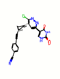 N#Cc1ccc(C#C[C@H]2C[C@@H]2c2cc(-c3c[nH]c(=O)[nH]c3=O)nnc2Cl)cc1